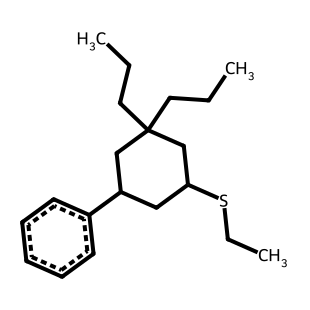 CCCC1(CCC)CC(SCC)CC(c2ccccc2)C1